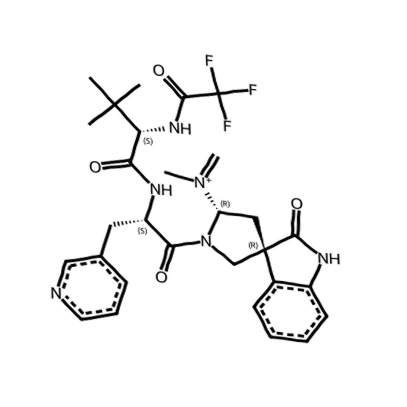 C=[N+](C)[C@@H]1C[C@@]2(CN1C(=O)[C@H](Cc1cccnc1)NC(=O)[C@@H](NC(=O)C(F)(F)F)C(C)(C)C)C(=O)Nc1ccccc12